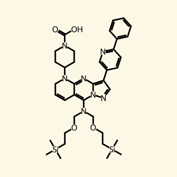 C[Si](C)(C)CCOCN(COCC[Si](C)(C)C)c1c2c(nc3c(-c4ccc(-c5ccccc5)nc4)cnn13)N(C1CCN(C(=O)O)CC1)CC=C2